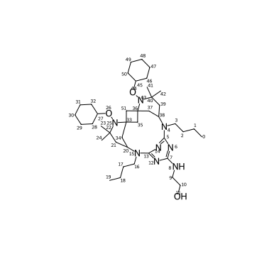 CCCCN1c2nc(NCCO)nc(n2)N(CCCC)C2CC(C)(C)N(OC3CCCCC3)C3(C2)CC2(CC1CC(C)(C)N2OC1CCCCC1)C3